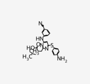 CC(C)C[C@@H](Cc1nc(Nc2cccc(C#N)c2)cc(Sc2ccc(N)cc2)n1)C(=O)O